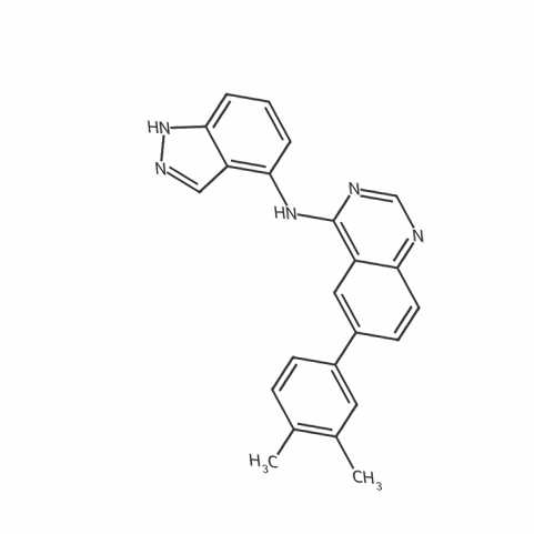 Cc1ccc(-c2ccc3ncnc(Nc4cccc5[nH]ncc45)c3c2)cc1C